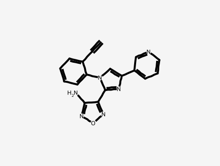 C#Cc1ccccc1-n1cc(-c2cccnc2)nc1-c1nonc1N